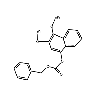 CCCOc1cc(OC(=O)OCc2ccccc2)c2ccccc2c1OCCC